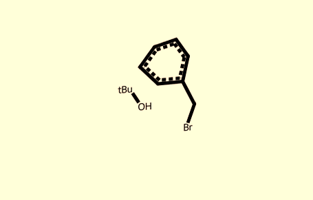 BrCc1ccccc1.CC(C)(C)O